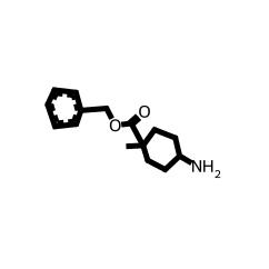 CC1(C(=O)OCc2ccccc2)CCC(N)CC1